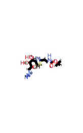 CC(C)(C)OC(=O)NCCC1=N[C@H]2[C@@H](O)[C@H](O)C(CN=[N+]=[N-])O[C@@H]2S1